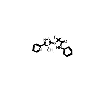 Cn1c(SC(F)(F)C(=O)Nc2ccccc2)nnc1-c1ccccn1